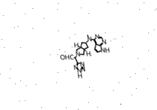 CN(c1ncnc2[nH]ccc12)[C@H]1C[C@@H]2CN(C(C=O)c3nn[nH]n3)C[C@@H]2C1